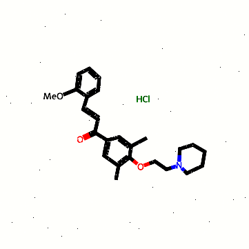 COc1ccccc1C=CC(=O)c1cc(C)c(OCCN2CCCCC2)c(C)c1.Cl